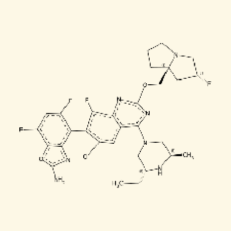 CC[C@@H]1CN(c2nc(OC[C@@]34CCCN3C[C@H](F)C4)nc3c(F)c(-c4c(F)cc(F)c5oc(N)nc45)c(Cl)cc23)C[C@@H](C)N1